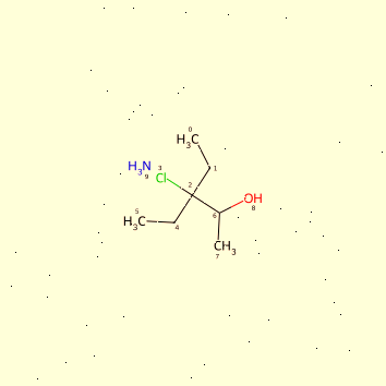 CCC(Cl)(CC)C(C)O.N